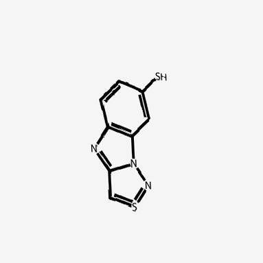 Sc1ccc2nc3n(c2c1)N=S=C3